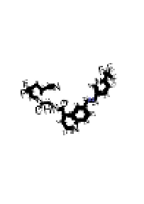 N#CC1CC(F)(F)CN1C(=O)CNC(=O)c1ccnc2ccc(/C=C/c3ccc(C(F)(F)F)nc3)cc12